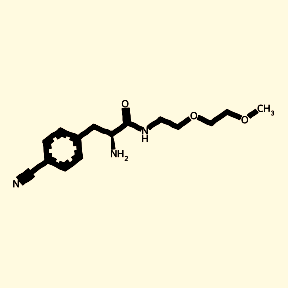 COCCOCCNC(=O)[C@@H](N)Cc1ccc(C#N)cc1